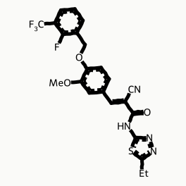 CCc1nnc(NC(=O)/C(C#N)=C/c2ccc(OCc3cccc(C(F)(F)F)c3F)c(OC)c2)s1